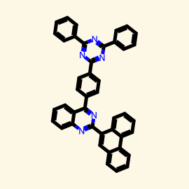 c1ccc(-c2nc(-c3ccccc3)nc(-c3ccc(-c4nc(-c5cc6ccccc6c6ccccc56)nc5ccccc45)cc3)n2)cc1